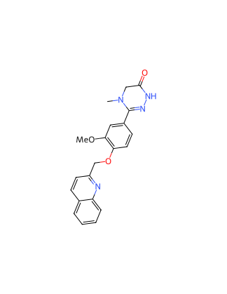 COc1cc(C2=NNC(=O)CN2C)ccc1OCc1ccc2ccccc2n1